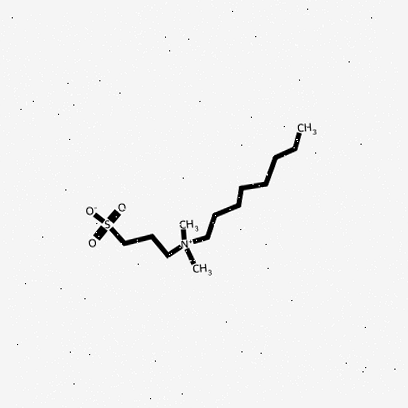 CCCCCCCC[N+](C)(C)CCCS(=O)(=O)[O-]